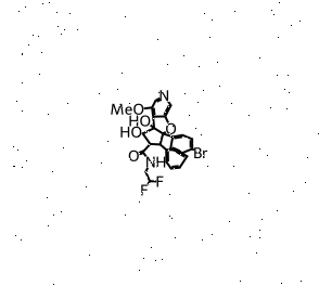 COc1cncc2c1C1(O)C(O)C(C(=O)NCC(F)F)C(c3ccccc3)C1(c1ccc(Br)cc1)O2